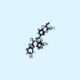 CCC(Oc1ccc(C(CNC(=O)c2cc3c(s2)CCNC3)Oc2cccnc2)cc1)C(=O)O.Cl